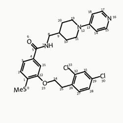 CSc1ccc(C(=O)NCC2CCN(c3ccncc3)CC2)cc1OCCc1ccc(Cl)cc1Cl